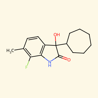 Cc1ccc2c(c1F)NC(=O)C2(O)C1CCCCCC1